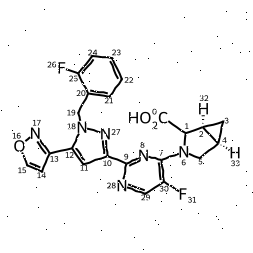 O=C(O)C1[C@H]2C[C@H]2CN1c1nc(-c2cc(-c3ccon3)n(Cc3ccccc3F)n2)ncc1F